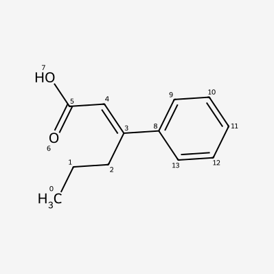 CCC/C(=C\C(=O)O)c1ccccc1